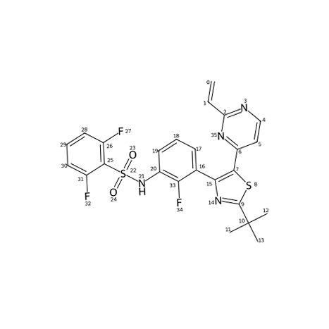 C=Cc1nccc(-c2sc(C(C)(C)C)nc2-c2cccc(NS(=O)(=O)c3c(F)cccc3F)c2F)n1